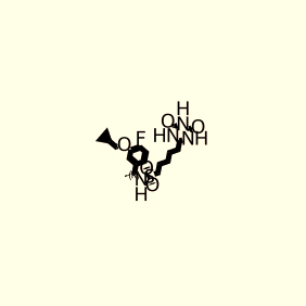 C[C@@H](NS(=O)(=O)CCCCCC1NC(=O)NC(=O)N1)c1ccc(F)c(OCC2CC2)c1